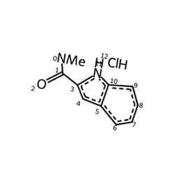 CNC(=O)c1cc2ccccc2[nH]1.Cl